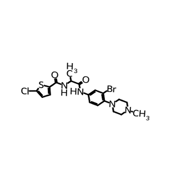 CC(NC(=O)c1ccc(Cl)s1)C(=O)Nc1ccc(N2CCN(C)CC2)c(Br)c1